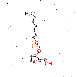 CCCCCCCOPOC1CCOC1CO